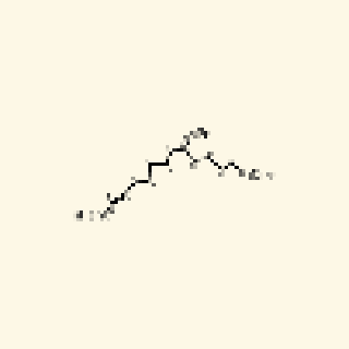 [CH2]CCCCC=CCCCCCC(CCC)CCCCCCCCCCCCC[CH2]